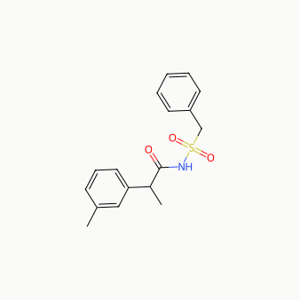 Cc1cccc(C(C)C(=O)NS(=O)(=O)Cc2ccccc2)c1